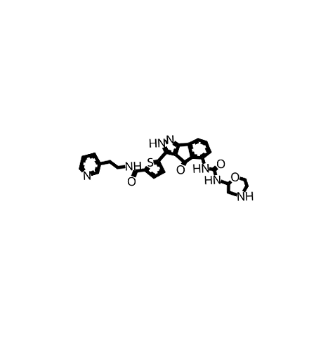 O=C(Nc1cccc2c1C(=O)c1c-2n[nH]c1-c1ccc(C(=O)NCCc2cccnc2)s1)NC1CNCCO1